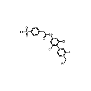 CCS(=O)(=O)c1ccc(CC(=O)Nc2cc(Cl)c(-c3ccc(CC(C)C)c(F)c3)c(Cl)c2)cc1